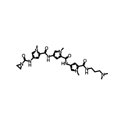 CN(C)CCCNC(=O)c1cc(NC(=O)c2cc(NC(=O)c3cc(NC(=O)N4CC4)cn3C)cn2C)cn1C